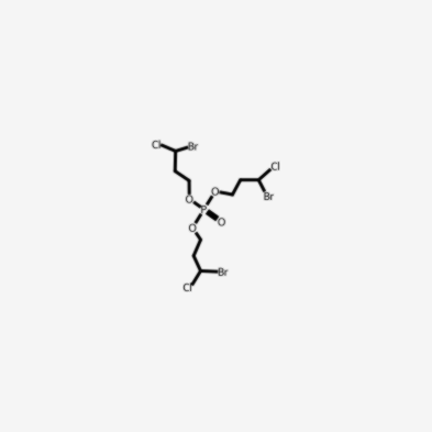 O=P(OCCC(Cl)Br)(OCCC(Cl)Br)OCCC(Cl)Br